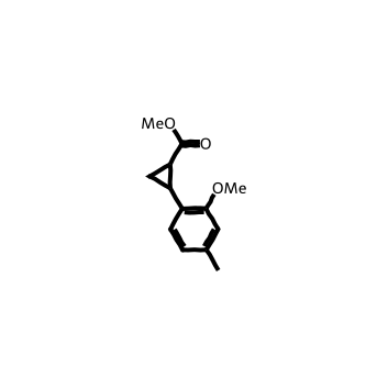 COC(=O)C1CC1c1ccc(C)cc1OC